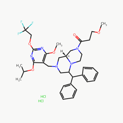 COCCC(=O)N1CCN2C(C(c3ccccc3)c3ccccc3)CN(Cc3c(OC)nc(OCC(F)(F)F)nc3OC(C)C)C[C@@H]2C1.Cl.Cl